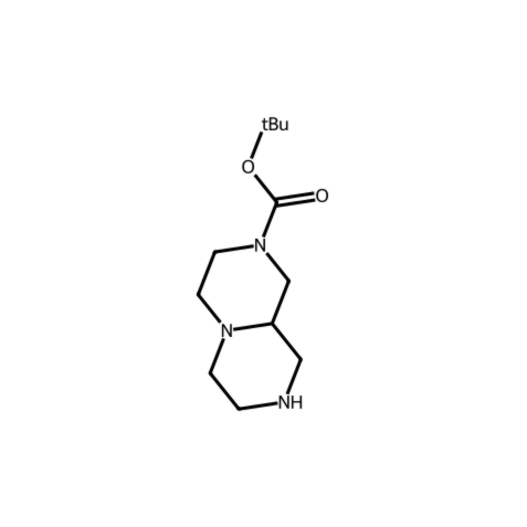 CC(C)(C)OC(=O)N1CCN2CCNCC2C1